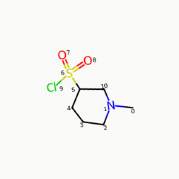 CN1CCCC(S(=O)(=O)Cl)C1